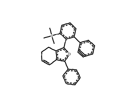 CS(C)(C)c1cccc(-c2c#cccc2)c1-c1oc(-c2ccccc2)c2c1CCC=C2